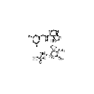 Fc1cc(F)cc(CNc2ncnc3nc[nH]c23)c1.O=P(O)(O)OC[C@H]1OC(O)[C@H](O)[C@@H]1O